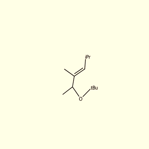 [CH2]C(C)(C)OC(C)C(C)=CC(C)C